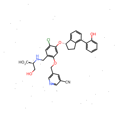 N#Cc1cncc(COc2cc(O[C@H]3CCc4c(-c5ccccc5O)cccc43)c(Cl)cc2CN[C@@H](CO)C(=O)O)c1